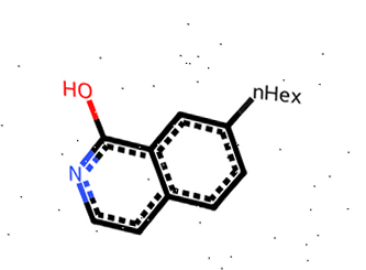 CCCCCCc1ccc2ccnc(O)c2c1